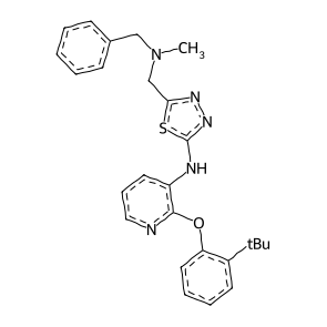 CN(Cc1ccccc1)Cc1nnc(Nc2cccnc2Oc2ccccc2C(C)(C)C)s1